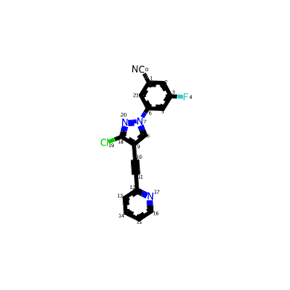 N#Cc1cc(F)cc(-n2cc(C#Cc3ccccn3)c(Cl)n2)c1